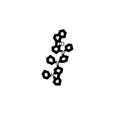 c1ccc(N(c2cccc(N(c3ccccc3)c3cccc4c3oc3c5ccccc5ccc43)c2)c2ccc3c4ccccc4n(-c4ccccc4)c3c2)cc1